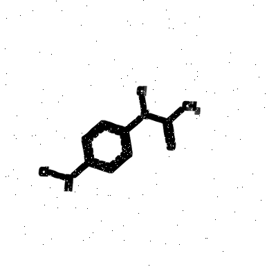 CC(=O)N(Cl)c1ccc(NCl)cc1